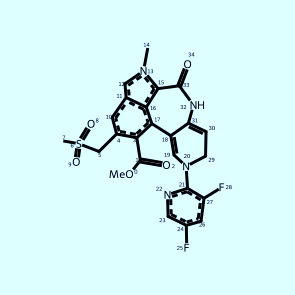 COC(=O)c1c(CS(C)(=O)=O)cc2cn(C)c3c2c1C1=CN(c2ncc(F)cc2F)CC=C1NC3=O